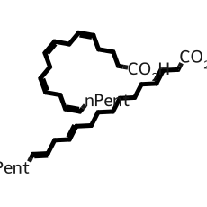 CCCCC/C=C\C/C=C\C/C=C\C/C=C\CCCC(=O)O.CCCCCC=CCC=CCCCCCCC=CCC(=O)O